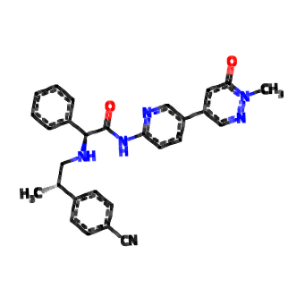 C[C@H](CN[C@H](C(=O)Nc1ccc(-c2cnn(C)c(=O)c2)cn1)c1ccccc1)c1ccc(C#N)cc1